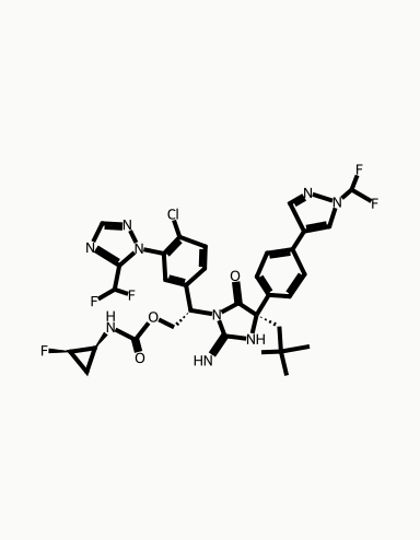 CC(C)(C)C[C@]1(c2ccc(-c3cnn(C(F)F)c3)cc2)NC(=N)N([C@H](COC(=O)N[C@H]2C[C@H]2F)c2ccc(Cl)c(-n3ncnc3C(F)F)c2)C1=O